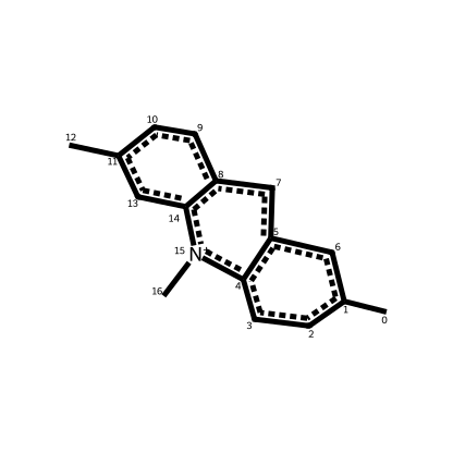 Cc1ccc2c(c1)cc1ccc(C)cc1[n+]2C